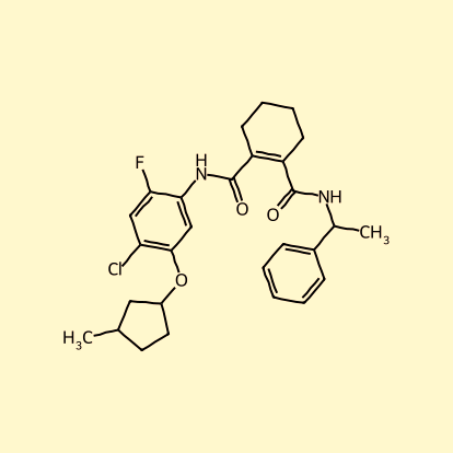 CC1CCC(Oc2cc(NC(=O)C3=C(C(=O)NC(C)c4ccccc4)CCCC3)c(F)cc2Cl)C1